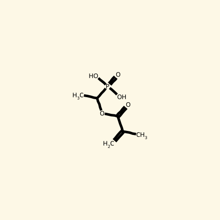 C=C(C)C(=O)OC(C)P(=O)(O)O